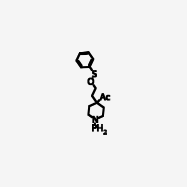 CC(=O)C1(CCOSc2ccccc2)CCN(P)CC1